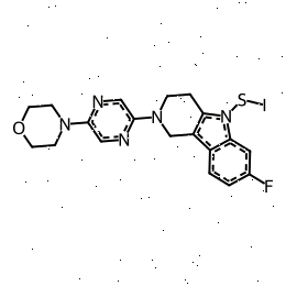 Fc1ccc2c3c(n(SI)c2c1)CCN(c1cnc(N2CCOCC2)cn1)C3